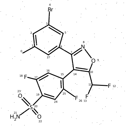 Cc1cc(Br)cc(-c2noc(C(F)F)c2-c2cc(F)c(S(N)(=O)=O)cc2F)c1